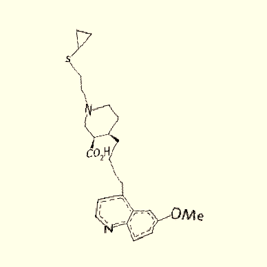 COc1ccc2nccc(CCC[C@@H]3CCN(CCSC4CC4)C[C@@H]3C(=O)O)c2c1